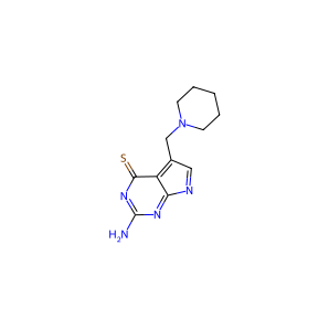 NC1=NC(=S)C2=C(CN3CCCCC3)C=NC2=N1